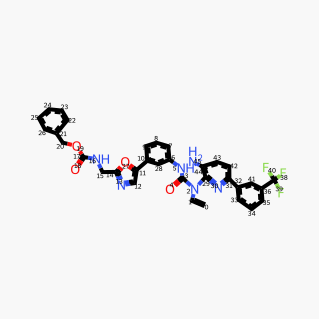 C=CN(C(=O)Nc1cccc(-c2cnc(CNC(=O)OCc3ccccc3)o2)c1)c1nc(-c2cccc(C(F)(F)F)c2)ccc1N